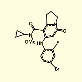 CON(C(=O)c1c(Nc2ccc(Br)cc2F)cc(=O)n2c1CCC2)C1CC1